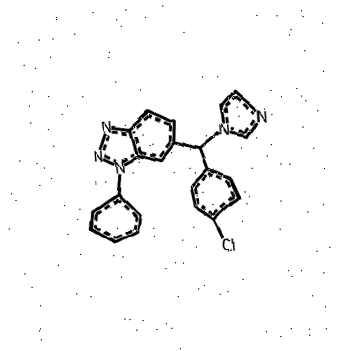 Clc1ccc(C(c2ccc3nnn(-c4ccccc4)c3c2)n2ccnc2)cc1